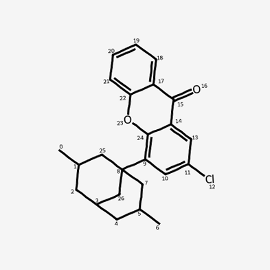 CC1CC2CC(C)CC(c3cc(Cl)cc4c(=O)c5ccccc5oc34)(C1)C2